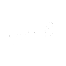 C[C@@H]1CCc2ncnc(NCCNC(=O)[C@H](N)Cc3ccc(Cl)c(Cl)c3)c21